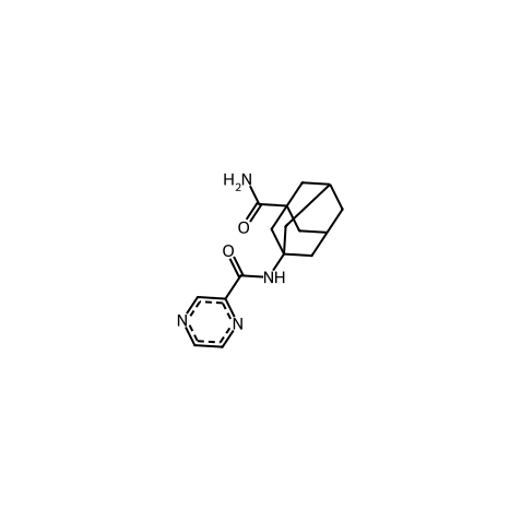 NC(=O)C12CC3CC(CC(NC(=O)c4cnccn4)(C3)C1)C2